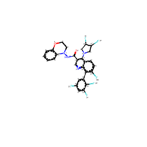 O=C(NN1CCOc2ccccc21)c1cnc2c(-c3cc(F)cc(F)c3F)c(F)ccc2c1N1CC(F)C(F)C1